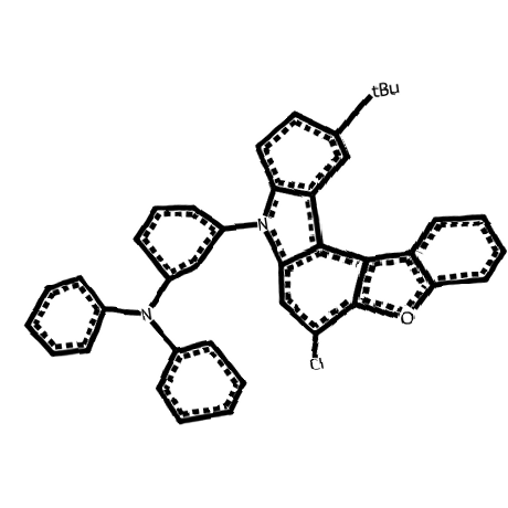 CC(C)(C)c1ccc2c(c1)c1c3c(oc4ccccc43)c(Cl)cc1n2-c1cccc(N(c2ccccc2)c2ccccc2)c1